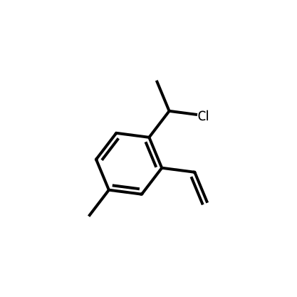 C=Cc1cc(C)ccc1C(C)Cl